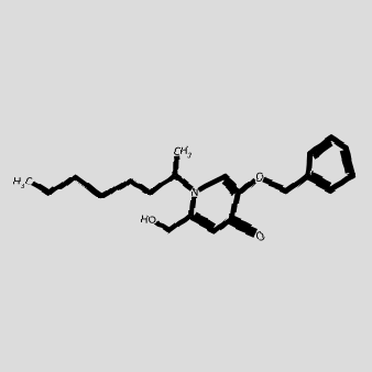 CCCCCCC(C)n1cc(OCc2ccccc2)c(=O)cc1CO